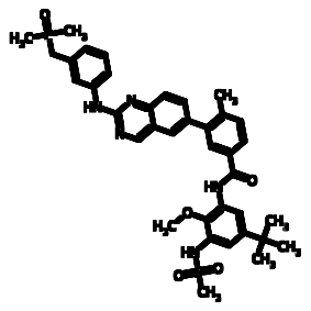 COc1c(NC(=O)c2ccc(C)c(-c3ccc4nc(Nc5cccc(CP(C)(C)=O)c5)ncc4c3)c2)cc(C(C)(C)C)cc1NS(C)(=O)=O